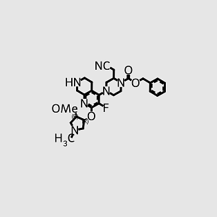 CO[C@@H]1CN(C)C[C@H]1Oc1nc2c(c(N3CCN(C(=O)OCc4ccccc4)C(CC#N)C3)c1F)CCNC2